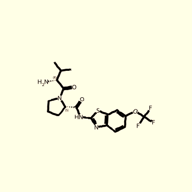 CC(C)[C@@H](N)C(=O)N1CCC[C@H]1C(=O)Nc1nc2ccc(OC(F)(F)F)cc2s1